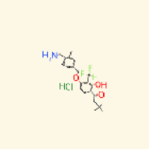 Cc1cc(COc2ccc(C(=O)CC(C)(C)C)c(O)c2C(F)(F)F)ccc1CN.Cl